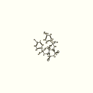 Cc1ccc(C(F)(F)CN2C(=O)CC(=O)N(CC(F)(F)c3ccc(F)cc3)C2=O)cc1